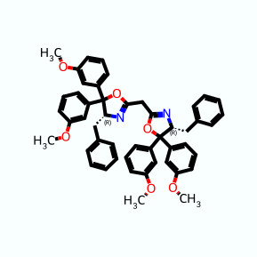 COc1cccc(C2(c3cccc(OC)c3)OC(CC3=N[C@H](Cc4ccccc4)C(c4cccc(OC)c4)(c4cccc(OC)c4)O3)=N[C@@H]2Cc2ccccc2)c1